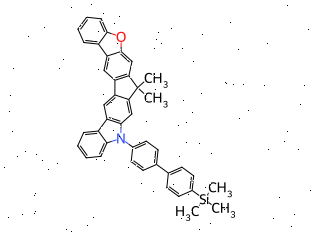 CC1(C)c2cc3oc4ccccc4c3cc2-c2cc3c4ccccc4n(-c4ccc(-c5ccc([Si](C)(C)C)cc5)cc4)c3cc21